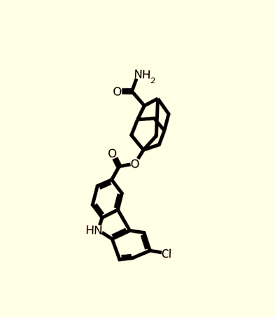 NC(=O)C1C2CC3CC1CC(OC(=O)c1ccc4[nH]c5ccc(Cl)cc5c4c1)(C3)C2